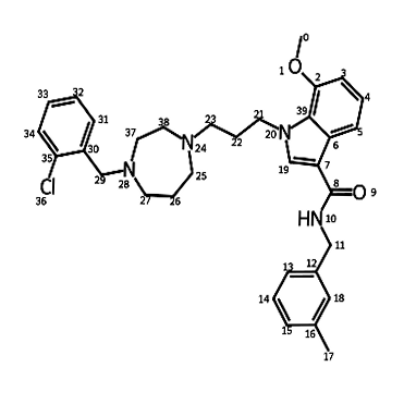 COc1cccc2c(C(=O)NCc3cccc(C)c3)cn(CCCN3CCCN(Cc4ccccc4Cl)CC3)c12